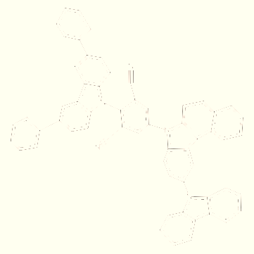 N#Cc1cc(-n2c3ccc(-n4c5ccccc5c5ccccc54)cc3c3c4ccccc4ccc32)cc(C#N)c1-n1c2ccc(-c3ccccc3)cc2c2cc(-c3ccccc3)ccc21